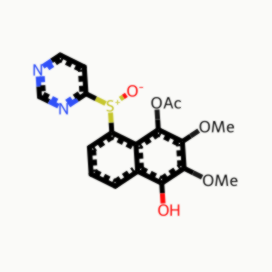 COc1c(OC)c(OC(C)=O)c2c([S+]([O-])c3ccncn3)cccc2c1O